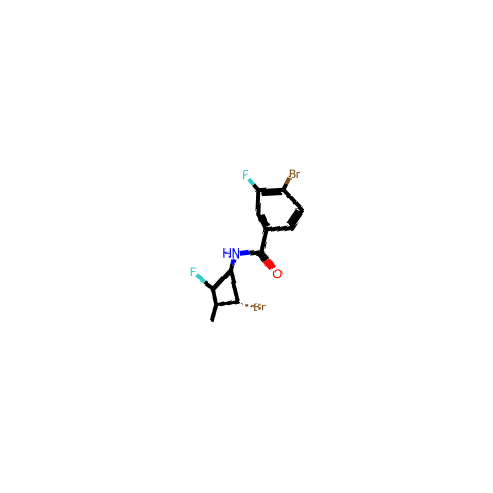 CC1C(F)C(NC(=O)c2ccc(Br)c(F)c2)[C@@H]1Br